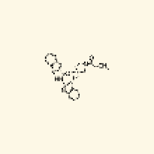 C=CC(=O)N1CC[C@]2(C1)C[C@H](n1c(NC(=O)c3cc4ccccc4s3)nc3ccccc31)C2